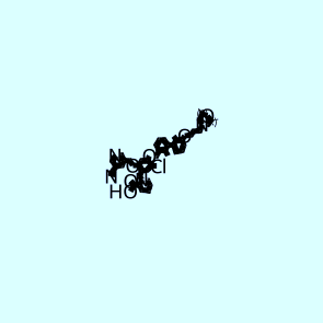 Cc1c(COc2cc(OCc3cncc(C#N)c3)c(CN3CCCCC3C(=O)O)cc2Cl)cccc1-c1cccc(OCCCN2C[C@@H](C)O[C@@H](C)C2)c1C